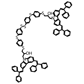 OC(CSc1ccc(Sc2ccc(SSc3ccc(Sc4ccc(SCC(O)Cn5c6ccc(C=C(c7ccccc7)c7ccccc7)cc6c6cc(C=C(c7ccccc7)c7ccccc7)ccc65)cc4)cc3)cc2)cc1)Cn1c2ccc(C=C(c3ccccc3)c3ccccc3)cc2c2cc(C=C(c3ccccc3)c3ccccc3)ccc21